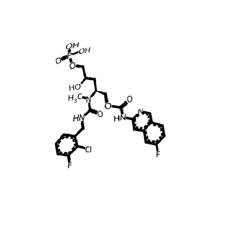 CN(C(=O)NCc1cccc(F)c1Cl)[C@H](COC(=O)Nc1cc2cc(F)ccc2cn1)CC(O)COP(=O)(O)O